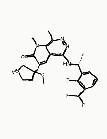 COC1(c2cc3c(N[C@H](C)c4cccc(C(F)F)c4F)nnc(C)c3n(C)c2=O)CCNC1